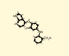 O=C(O)c1cccnc1Nc1ccc(Oc2ccnc3[nH]ccc23)c(F)c1